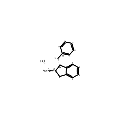 CN[C@@H]1Cc2ccccc2[C@H]1Cc1ccccc1.Cl